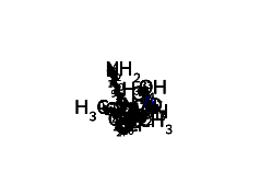 CCOC(=O)C1=C(CCCCCCCN)NC(C)=C(C(=O)OC)[C@H]1c1ccccc1Cl.O=C(O)/C=C/C(=O)O